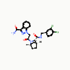 NC(=O)c1nn(CC(=O)N2[C@@H]3CC[C@@H](C3)[C@H]2C(=O)NCc2ccc(Cl)c(Cl)c2)c2ccccc12